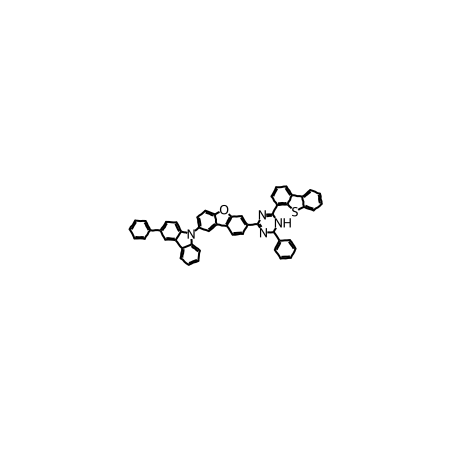 c1ccc(-c2ccc3c(c2)c2ccccc2n3-c2ccc3oc4cc(C5=NC(c6ccccc6)NC(c6cccc7c6sc6ccccc67)=N5)ccc4c3c2)cc1